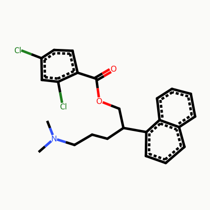 CN(C)CCCC(COC(=O)c1ccc(Cl)cc1Cl)c1cccc2ccccc12